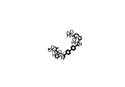 COC(=O)NC1CCC2CC[C@@H](c3ncc(-c4ccc(-c5ccc(-c6cnc([C@@H]7CCCN7C(=O)[C@@H](NC(=O)OC)C(C)C)[nH]6)cc5)cc4)[nH]3)N2C1=O